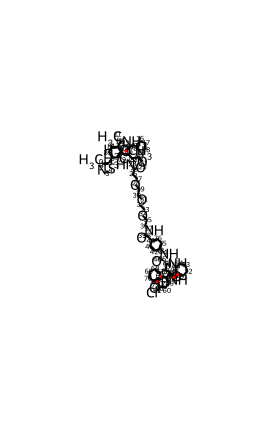 Cc1ncsc1-c1ccc([C@H](C)NC(=O)[C@@H]2CCCN2C(=O)[C@@H](NC(=O)CCOCCOCCOCCNC(=O)c2ccc(NC(=O)[C@@H]3NC4(CCCCC4)[C@@]4(C(=O)Nc5cc(Cl)ccc54)[C@H]3c3cccc(Cl)c3F)cc2)C(C)(C)C)cc1